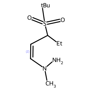 CCC(/C=C\N(C)N)S(=O)(=O)C(C)(C)C